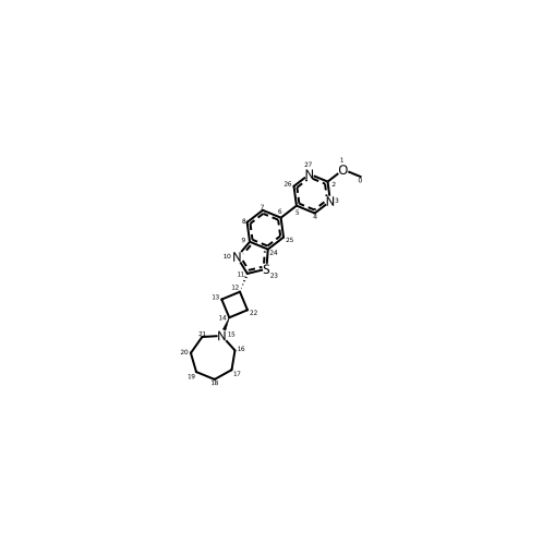 COc1ncc(-c2ccc3nc([C@H]4C[C@H](N5CCCCCC5)C4)sc3c2)cn1